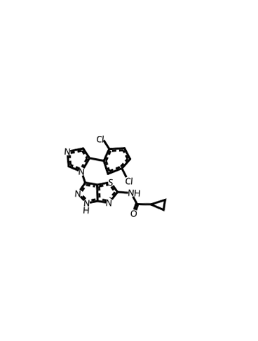 O=C(Nc1nc2[nH]nc(-n3cncc3-c3cc(Cl)ccc3Cl)c2s1)C1CC1